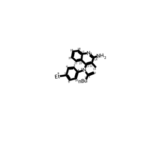 C=C(CCCC)N(c1ccc(CC)cc1)c1c(C)c(N)nc2ccccc12